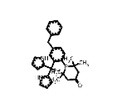 CC1(C)CC(=O)CC(C)(C)P1c1ccc(Cc2ccccc2)cc1C(P)(c1ccc[nH]1)c1ccc[nH]1